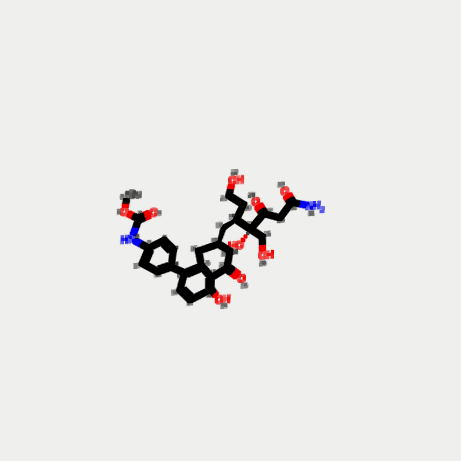 CC(C)(C)OC(=O)Nc1ccc(-c2ccc(O)c3c2C[C@@H](C[C@@H](CCO)[C@](O)(CO)C(=O)CC(N)=O)CC3=O)cc1